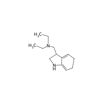 CCN(CC)CC1CNC2=CCCC=C21